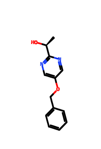 C[C@H](O)c1ncc(OCc2ccccc2)cn1